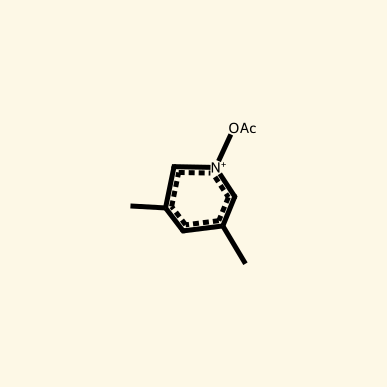 CC(=O)O[n+]1cc(C)cc(C)c1